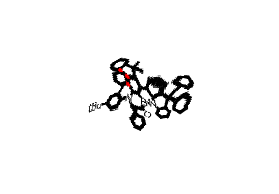 CC(C)(C)c1ccc(N2c3cc4c(c5c3B(c3oc6ccccc6c32)N2c3ccccc3C(c3ccccc3)(c3ccccc3)c3cccc-5c32)C(C)(C)c2ccccc2-4)c(-c2ccccc2)c1